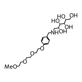 COCCOCCOCCOc1ccc(CNC[C@H](O)[C@@H](O)[C@H](O)[C@H](O)CO)cc1